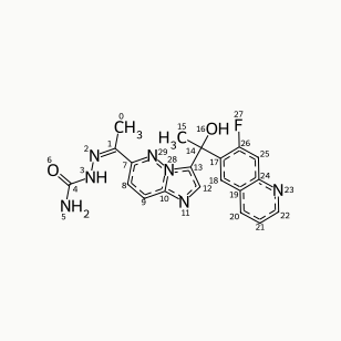 C/C(=N/NC(N)=O)c1ccc2ncc(C(C)(O)c3cc4cccnc4cc3F)n2n1